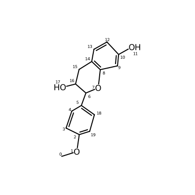 COc1ccc(C2Oc3cc(O)ccc3CC2O)cc1